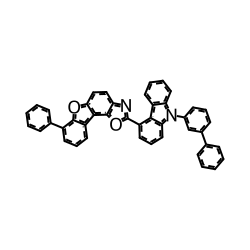 c1ccc(-c2cccc(-n3c4ccccc4c4c(-c5nc6ccc7oc8c(-c9ccccc9)cccc8c7c6o5)cccc43)c2)cc1